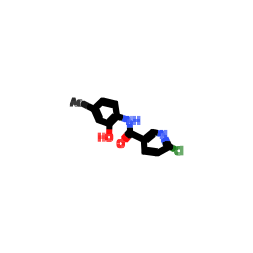 CC(=O)c1ccc(NC(=O)c2ccc(Cl)nc2)c(O)c1